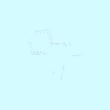 CC(Nc1ccccc1)C1CC1